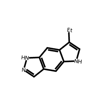 CCc1c[nH]c2cc3cn[nH]c3cc12